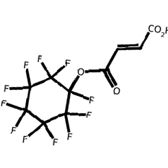 O=C(O)/C=C/C(=O)OC1(F)C(F)(F)C(F)(F)C(F)(F)C(F)(F)C1(F)F